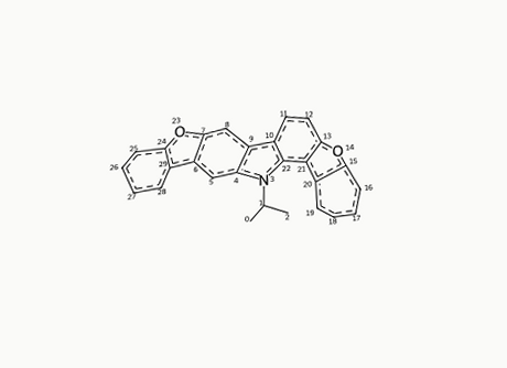 CC(C)n1c2cc3c(cc2c2ccc4oc5ccccc5c4c21)oc1ccccc13